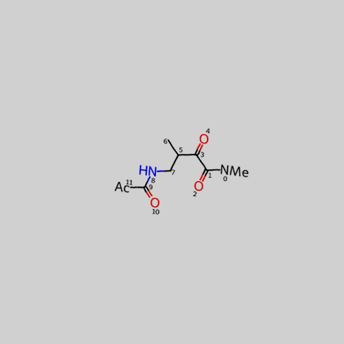 CNC(=O)C(=O)C(C)CNC(=O)C(C)=O